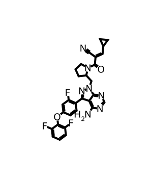 N#CC(=CC1CC1)C(=O)N1CCCC1Cn1nc(-c2ccc(Oc3c(F)cccc3F)cc2F)c2c(N)ncnc21